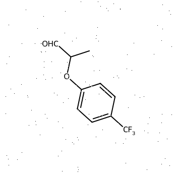 CC([C]=O)Oc1ccc(C(F)(F)F)cc1